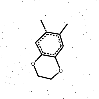 Cc1cc2c(cc1C)OCCO2